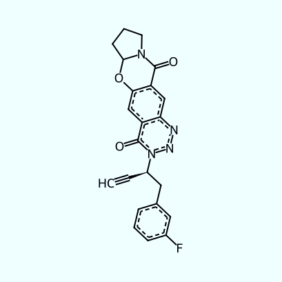 C#C[C@H](Cc1cccc(F)c1)n1nnc2cc3c(cc2c1=O)OC1CCCN1C3=O